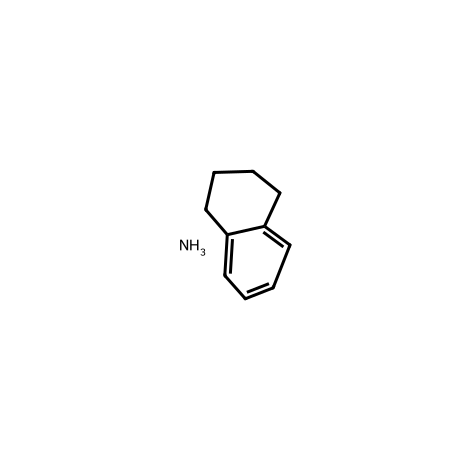 N.c1ccc2c(c1)CCCC2